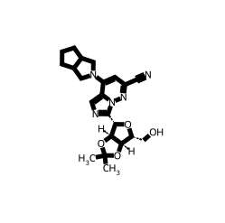 CC1(C)O[C@@H]2[C@H](O1)[C@@H](CO)O[C@H]2c1ncc2c(N3CC4CCCC4C3)cc(C#N)nn12